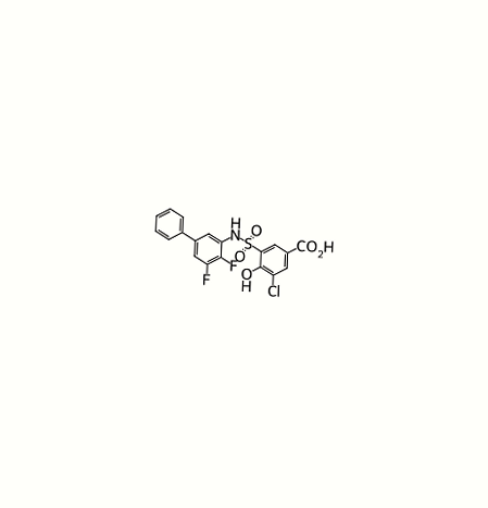 O=C(O)c1cc(Cl)c(O)c(S(=O)(=O)Nc2cc(-c3ccccc3)cc(F)c2F)c1